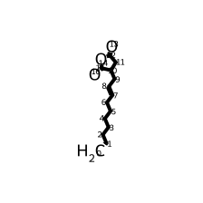 C=CCCCCCC=CCC1CC(=O)OC1=O